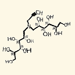 C#CCN(C[C@H](O)[C@@H](O)[C@H](O)[C@H](O)CO)C[C@H](O)[C@@H](O)[C@H](O)[C@H](O)CO